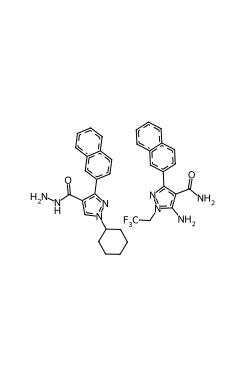 NC(=O)c1c(-c2ccc3ccccc3c2)nn(CC(F)(F)F)c1N.NNC(=O)c1cn(C2CCCCC2)nc1-c1ccc2ccccc2c1